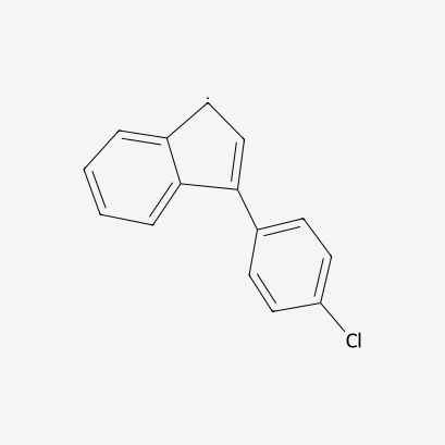 Clc1ccc(C2=C[CH]c3ccccc32)cc1